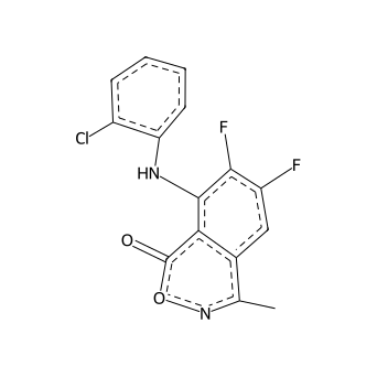 Cc1noc(=O)c2c(Nc3ccccc3Cl)c(F)c(F)cc12